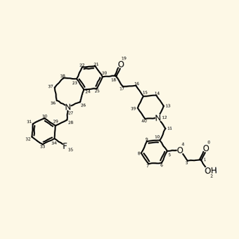 O=C(O)COc1ccccc1CN1CCC(CCC(=O)c2ccc3c(c2)CN(Cc2ccccc2F)CCC3)CC1